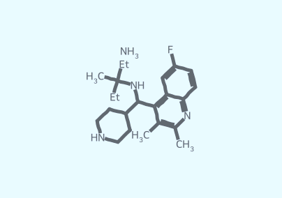 CCC(C)(CC)NC(c1c(C)c(C)nc2ccc(F)cc12)C1CCNCC1.N